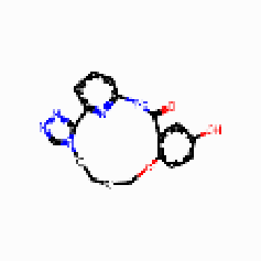 O=C1Nc2cccc(n2)-c2nncn2CCCCOc2ccc(O)cc21